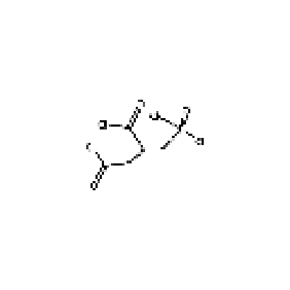 O=C(Cl)CC(CP(=O)(Cl)Cl)C(=O)Cl